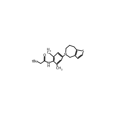 Cc1cc(N2CCCc3sccc3C2)cc(C)c1NC(=O)CC(C)(C)C